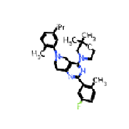 Cc1ccc(F)cc1-c1nc2c(c(N3CCCC(C)(C)C3)n1)CN(c1cc(C(C)C)ccc1C)CC2